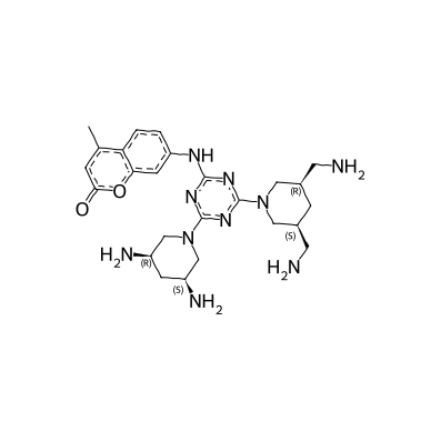 Cc1cc(=O)oc2cc(Nc3nc(N4C[C@H](N)C[C@H](N)C4)nc(N4C[C@H](CN)C[C@H](CN)C4)n3)ccc12